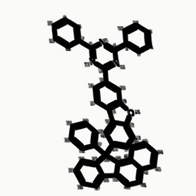 c1ccc(-c2nc(-c3ccccc3)nc(-c3ccc4c(c3)oc3ccc(C5(c6ccccc6)c6ccccc6-c6ccc7ccccc7c65)cc34)n2)cc1